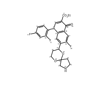 CCOC(=O)c1cn(-c2ccc(F)cc2F)c2cc(C3CCOC4(CCNC4)O3)c(F)cc2c1=O